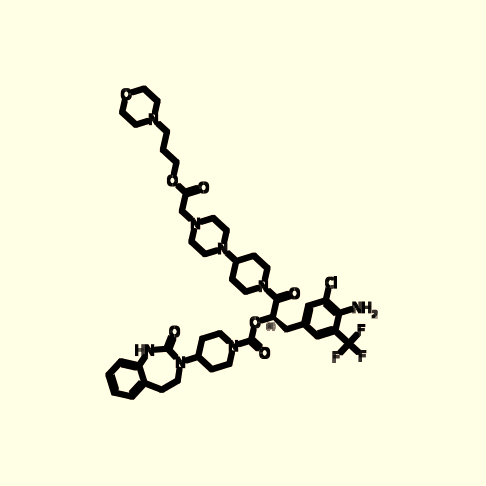 Nc1c(Cl)cc(C[C@@H](OC(=O)N2CCC(N3CCc4ccccc4NC3=O)CC2)C(=O)N2CCC(N3CCN(CC(=O)OCCCN4CCOCC4)CC3)CC2)cc1C(F)(F)F